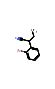 CCC(C#N)c1ccccc1Br